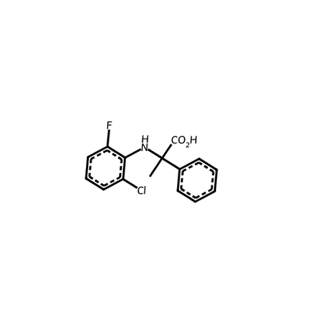 CC(Nc1c(F)cccc1Cl)(C(=O)O)c1ccccc1